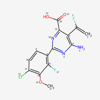 C=C(F)c1c(N)nc(-c2ccc(Cl)c(OC)c2F)nc1C(=O)O